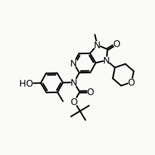 Cc1cc(O)ccc1N(C(=O)OC(C)(C)C)c1cc2c(cn1)n(C)c(=O)n2C1CCOCC1